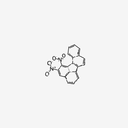 O=[N+]([O-])c1cc2cccc3c2c(c1[N+](=O)[O-])-c1c-3ccc2ccccc12